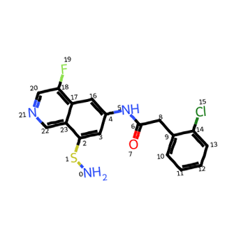 NSc1cc(NC(=O)Cc2ccccc2Cl)cc2c(F)cncc12